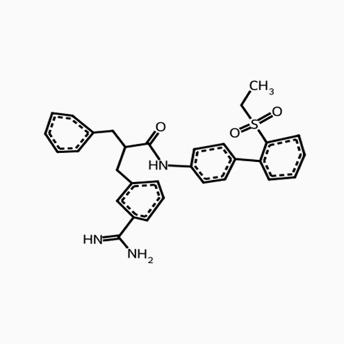 CCS(=O)(=O)c1ccccc1-c1ccc(NC(=O)C(Cc2ccccc2)Cc2cccc(C(=N)N)c2)cc1